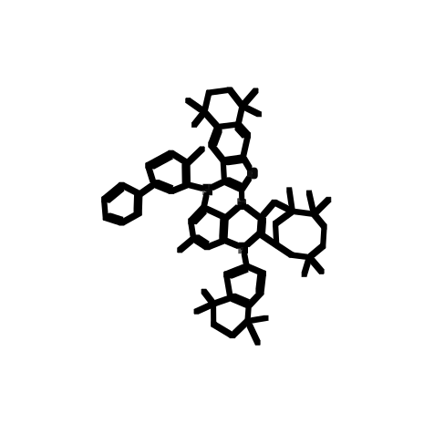 Cc1cc2c3c(c1)N(c1cc(-c4ccccc4)ccc1C)c1c(oc4cc5c(cc14)C(C)(C)CCC5(C)C)B3C1=C(C3CC(C)(C)CCC(C)(C)C(C)(C1)C3)N2c1ccc2c(c1)C(C)(C)CCC2(C)C